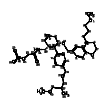 COCCCN1CCOc2ccc(CO[C@H]3CNC[C@@H](CNC(=O)CO[N+](=O)[O-])[C@@H]3c3ccc(COCC(C)COC)cc3)cc21